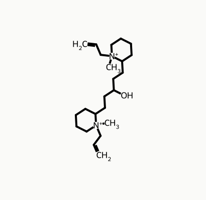 C=CC[N+]1(C)CCCCC1CCC(O)CCC1CCCC[N+]1(C)CC=C